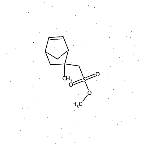 COS(=O)(=O)CC1(C)CC2C=CC1C2